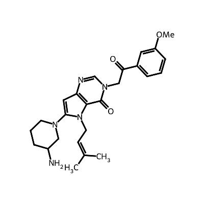 COc1cccc(C(=O)Cn2cnc3cc(N4CCCC(N)C4)n(CC=C(C)C)c3c2=O)c1